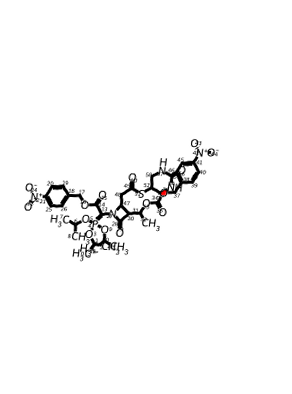 CC(C)OP(OC(C)C)(OC(C)C)=C(C(=O)OCc1ccc([N+](=O)[O-])cc1)N1C(=O)C(C(C)OC(=O)OCc2ccc([N+](=O)[O-])cc2)C1CC(=O)SC1CNC(=O)NC1